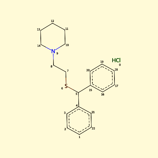 Cl.c1ccc(C(SCCN2CCCCC2)c2ccccc2)cc1